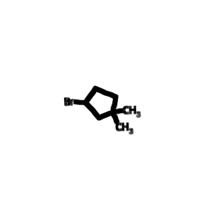 CC1(C)CCC(Br)C1